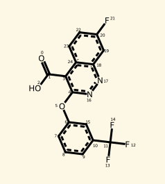 O=C(O)c1c(Oc2cccc(C(F)(F)F)c2)nnc2cc(F)ccc12